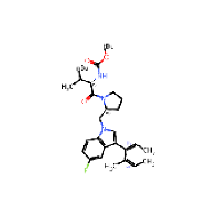 C/C=C(C)\C(=C/C)c1cn(C[C@@H]2CCCN2C(=O)[C@@H](NC(=O)OC(C)(C)C)C(C)CCCC)c2ccc(F)cc12